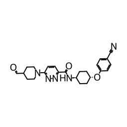 N#Cc1ccc(O[C@H]2CC[C@H](NC(=O)c3ccc(N4CCC(C=O)CC4)nn3)CC2)cc1